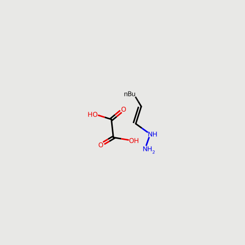 CCCCC=CNN.O=C(O)C(=O)O